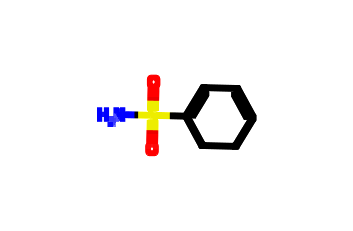 NS(=O)(=O)C1=CC=CCC1